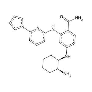 NC(=O)c1ccc(N[C@@H]2CCCC[C@@H]2N)cc1Nc1cccc(-n2cccc2)n1